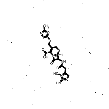 Cc1nnc(SCC2=C(C(=O)O)N3C(=O)C(NC(=O)Cc4csc(=N)n4O)[C@@H]3SC2)o1